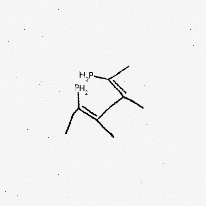 C/C(P)=C(C)/C(C)=C(/C)P